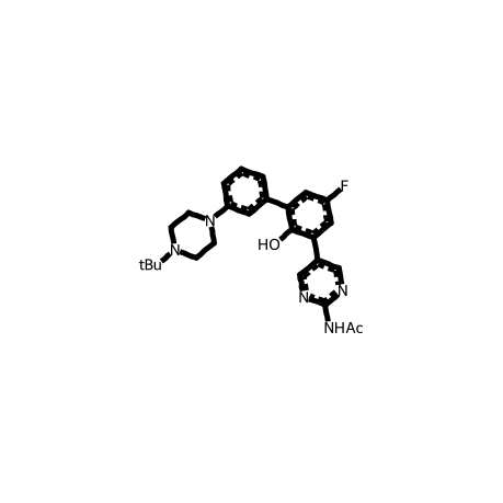 CC(=O)Nc1ncc(-c2cc(F)cc(-c3cccc(N4CCN(C(C)(C)C)CC4)c3)c2O)cn1